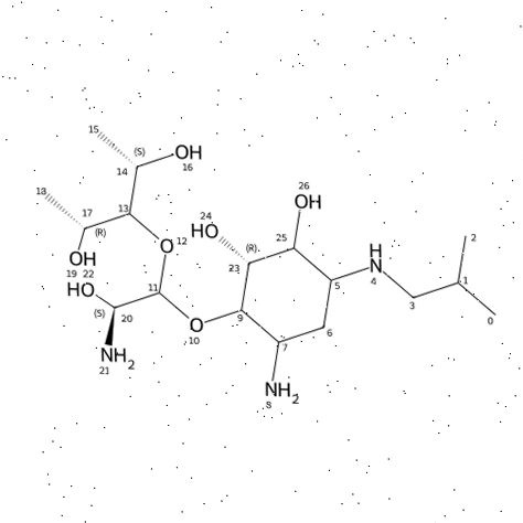 CC(C)CNC1CC(N)C(OC(OC([C@H](C)O)[C@@H](C)O)[C@@H](N)O)[C@H](O)C1O